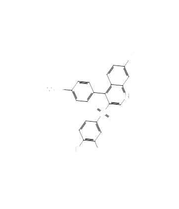 COc1ccc(-c2c(S(=O)(=O)c3ccc(F)c(F)c3)cnc3cc(F)ccc23)cc1